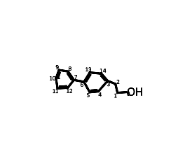 OCCc1ccc(-c2cc[c]cc2)cc1